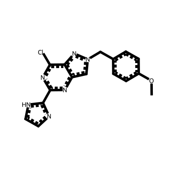 COc1ccc(Cn2cc3nc(-c4ncc[nH]4)nc(Cl)c3n2)cc1